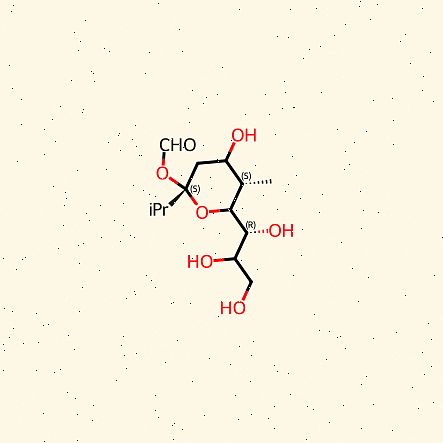 CC(C)[C@@]1(OC=O)CC(O)[C@H](C)C([C@H](O)C(O)CO)O1